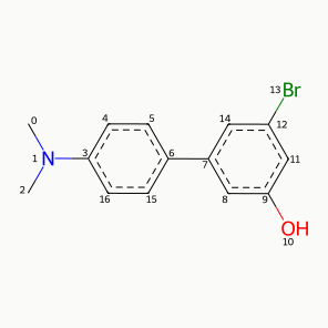 CN(C)c1ccc(-c2cc(O)cc(Br)c2)cc1